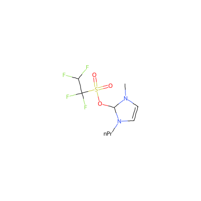 CCCN1C=CN(C)C1OS(=O)(=O)C(F)(F)C(F)F